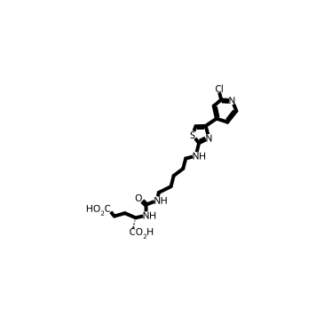 O=C(O)CC[C@H](NC(=O)NCCCCCNc1nc(-c2ccnc(Cl)c2)cs1)C(=O)O